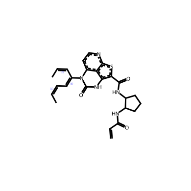 C=CC(=O)NC1CCCC1NC(=O)c1sc2nccc3c2c1NC(=O)N3C(/C=C\C)=C/C=C\C